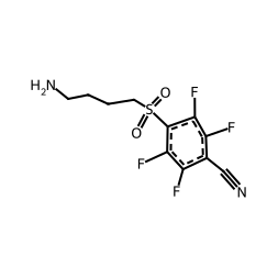 N#Cc1c(F)c(F)c(S(=O)(=O)CCCCN)c(F)c1F